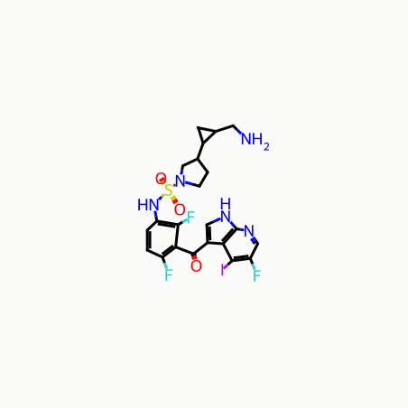 NCC1CC1C1CCN(S(=O)(=O)Nc2ccc(F)c(C(=O)c3c[nH]c4ncc(F)c(I)c34)c2F)C1